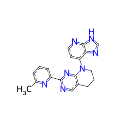 Cc1cccc(-c2ncc3c(n2)N(c2ccnc4[nH]cnc24)CCC3)n1